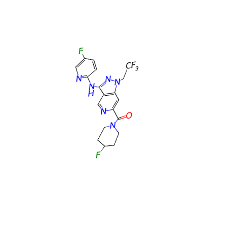 O=C(c1cc2c(cn1)c(Nc1ccc(F)cn1)nn2CC(F)(F)F)N1CCC(F)CC1